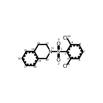 O=S(=O)(c1c(Cl)cccc1Cl)N1CCc2ccccc2C1